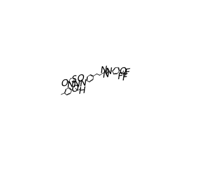 CCOc1ccc(C)cc1N1C(=O)CS/C1=N\C(=O)Nc1ccc(CCc2ncn(-c3ccc(OC(F)(F)F)cc3)n2)cc1